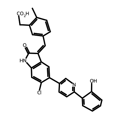 Cc1ccc(C=C2C(=O)Nc3cc(Cl)c(-c4ccc(-c5ccccc5O)nc4)cc32)cc1CC(=O)O